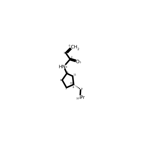 C=CC(=O)NC1CC[C@@H](CC(C)C)C1